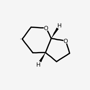 [CH]1CO[C@@H]2OCC[C@@H]2C1